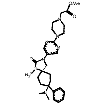 COC(=O)CN1CCN(c2ncc(N3C[C@]4(CC[C@](c5ccccc5)(N(C)C)CC4)N(P)C3=O)cn2)CC1